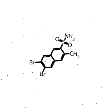 Cc1cc2cc(Br)c(Br)cc2cc1S(N)(=O)=O